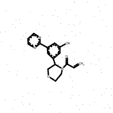 C=CC(=O)N1CCOCC1c1cc(C#N)cc(-c2ncccn2)c1